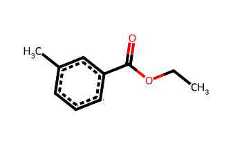 CCOC(=O)c1[c]ccc(C)c1